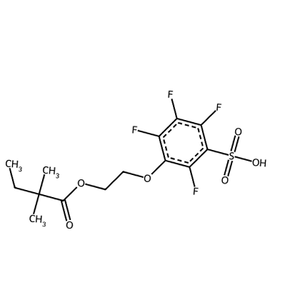 CCC(C)(C)C(=O)OCCOc1c(F)c(F)c(F)c(S(=O)(=O)O)c1F